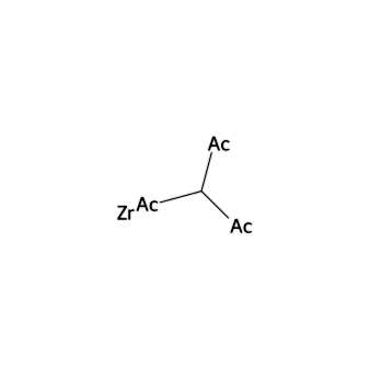 CC(=O)C(C(C)=O)C(C)=O.[Zr]